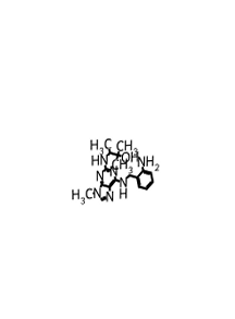 CC(Nc1nc(NCc2ccccc2N)c2ncn(C)c2n1)C(C)(C)O